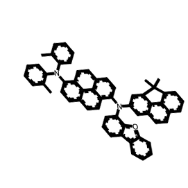 Cc1ccccc1N(c1ccccc1C)c1ccc2ccc3c(N(c4cc5c6c(ccc7cccc(c76)C5(C)C)c4)c4cccc5c4oc4ccccc45)ccc4ccc1c2c43